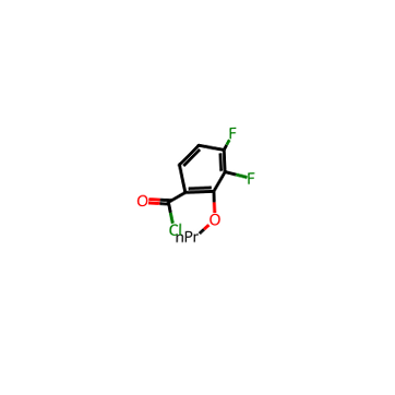 CCCOc1c(C(=O)Cl)ccc(F)c1F